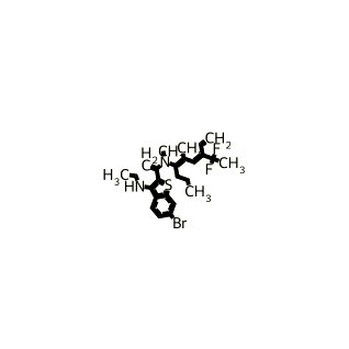 C=C/C(=C\C(C)=C(/CCC)N(C)C(=C)c1sc2cc(Br)ccc2c1NCC)C(C)(F)F